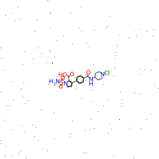 NS(=O)(=O)n1ccc(-c2ccc(C(=O)NC3CCN(Cl)CC3)cc2)c1C(=O)O